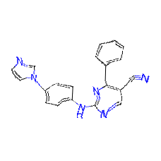 N#Cc1cnc(Nc2ccc(-n3ccnc3)cc2)nc1-c1ccccc1